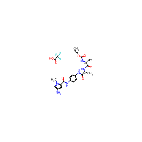 C=CCOC(=O)N[C@H](C(=O)N[C@@H](C)C(=O)Nc1ccc(NC(=O)c2cc(N)cn2C)cc1)C(C)C.O=C(O)C(F)(F)F